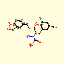 NN(C(=O)O)C(Cc1cc(F)cc(F)c1)C(O)CCc1ccc2c(c1)COO2